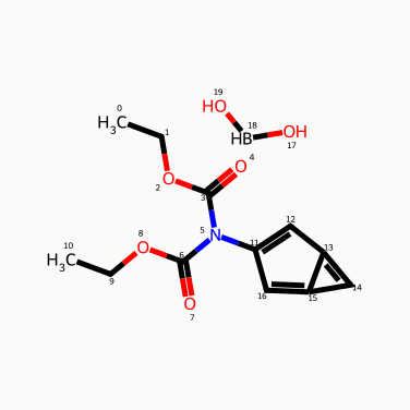 CCOC(=O)N(C(=O)OCC)c1cc2cc-2c1.OBO